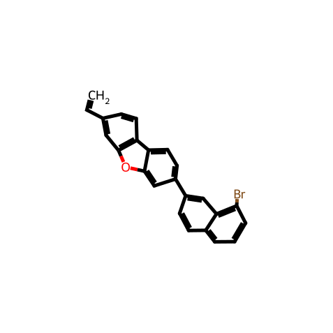 C=Cc1ccc2c(c1)oc1cc(-c3ccc4cccc(Br)c4c3)ccc12